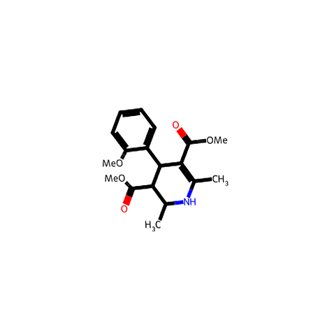 COC(=O)C1=C(C)NC(C)C(C(=O)OC)C1c1ccccc1OC